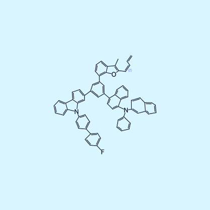 C=C/C=C\c1oc2c(-c3cc(-c4ccc5c6ccccc6n(-c6ccc(-c7ccc(F)cc7)cc6)c5c4)cc(-c4ccc(N(c5ccccc5)c5ccc6ccccc6c5)c5ccccc45)c3)cccc2c1C